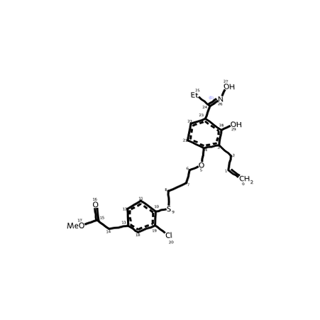 C=CCc1c(OCCCSc2ccc(CC(=O)OC)cc2Cl)ccc(/C(CC)=N/O)c1O